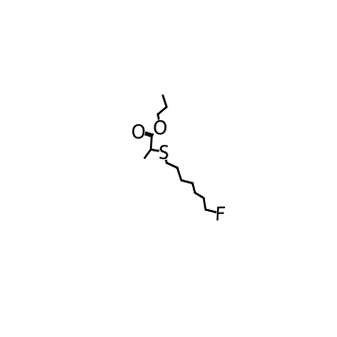 CCCOC(=O)C(C)SCCCCCCCF